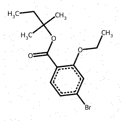 CCOc1cc(Br)ccc1C(=O)OC(C)(C)CC